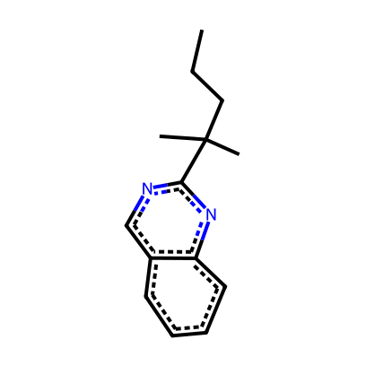 CCCC(C)(C)c1ncc2ccccc2n1